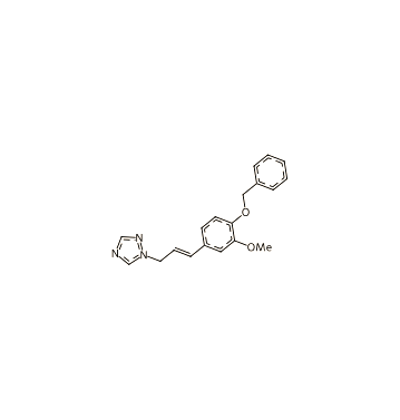 COc1cc(C=CCn2cncn2)ccc1OCc1ccccc1